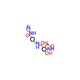 CNc1c(O)ccc(C(O)CNCc2ccc(C(=O)NC3CCN(C)C3)cc2)c1/C=C\C=O